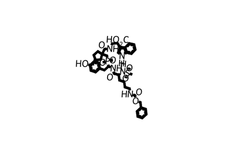 CS(=O)(=O)NC(CCCCNC(=O)OCc1ccccc1)C(=O)NC(Cc1ccc(O)cc1)P(=O)(O)CC1(C(=O)N[C@@H](Cc2c[nH]c3ccccc23)C(=O)O)CCCC1